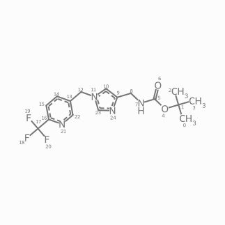 CC(C)(C)OC(=O)NCc1cn(Cc2ccc(C(F)(F)F)nc2)cn1